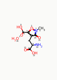 Cn1oc(C(=O)O)c(CC(N)C(=O)O)c1=O.O